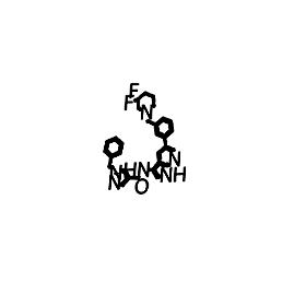 O=C(Nc1c[nH]c2ncc(-c3cccc(CN4CCCC(F)(F)C4)c3)cc12)c1cnn(Cc2ccccc2)c1